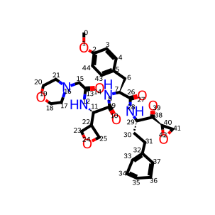 COc1ccc(C[C@H](NC(=O)[C@@H](NC(=O)CN2CCOCC2)C2COC2)C(=O)N[C@@H](CCc2ccccc2)C(=O)[C@H]2CO2)cc1